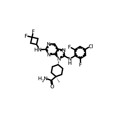 C[C@]1(C(N)=O)CC[C@H](n2c(Nc3c(F)cc(Cl)cc3F)nc3cnc(NC4CC(F)(F)C4)nc32)CC1